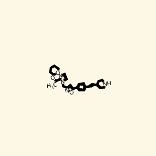 C[C@H](OC1CCCCO1)c1nccn1Cc1cc(-c2ccc(C#CC3=CCNCC3)cc2)on1